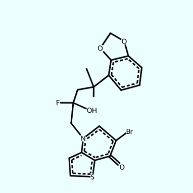 CC(C)(CC(O)(F)Cn1cc(Br)c(=O)c2sccc21)c1cccc2c1OCO2